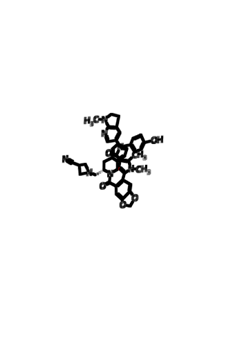 Cc1c(C(=O)N(c2ccc(O)cc2)c2cnc3c(c2)CCN3C)cc(-c2cc3c(cc2C(=O)N2Cc4ccccc4C[C@H]2CN2CC(C#N)C2)OCO3)n1C